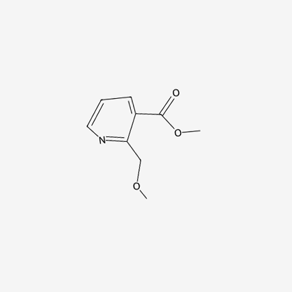 COCc1ncccc1C(=O)OC